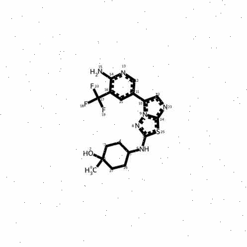 CC1(O)CCC(Nc2nn3c(-c4cnc(N)c(C(F)(F)F)c4)cnc3s2)CC1